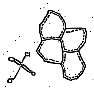 O=S(=O)(Cl)Cl.c1cc2ccc3cccc4ccc(c1)c2c34